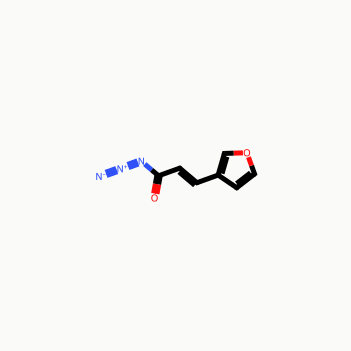 [N-]=[N+]=NC(=O)/C=C/c1ccoc1